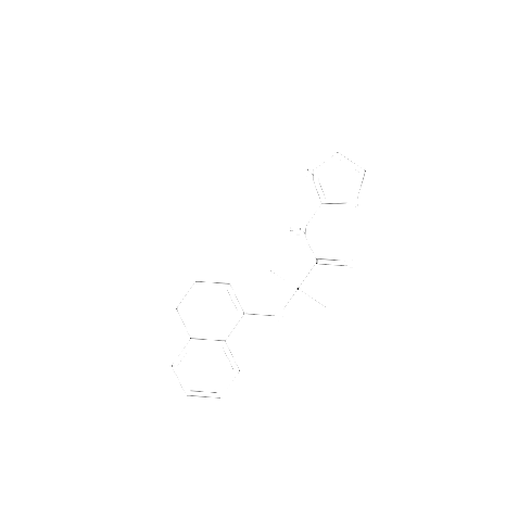 CC(C)(OC1=CCCc2ccccc21)C(=O)Nc1nccs1